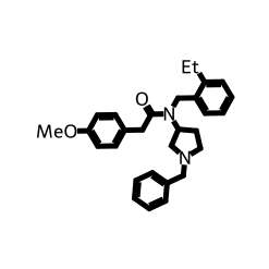 CCc1ccccc1CN(C(=O)Cc1ccc(OC)cc1)C1CCN(Cc2ccccc2)C1